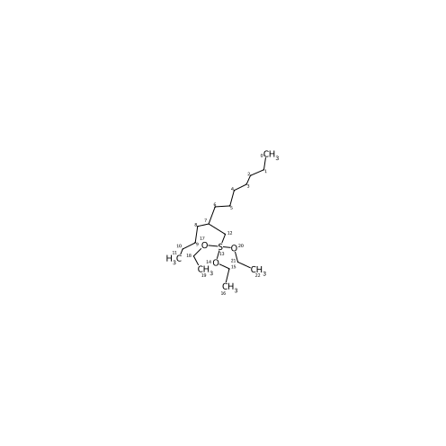 CCCCCCCC(CCCC)CS(OCC)(OCC)OCC